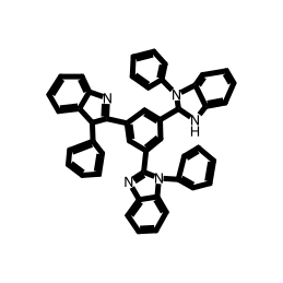 c1ccc(C2C(c3cc(-c4nc5ccccc5n4-c4ccccc4)cc(C4Nc5ccccc5N4c4ccccc4)c3)=Nc3ccccc32)cc1